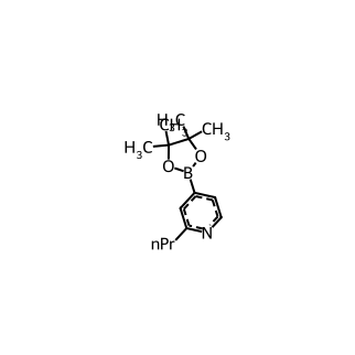 CCCc1cc(B2OC(C)(C)C(C)(C)O2)ccn1